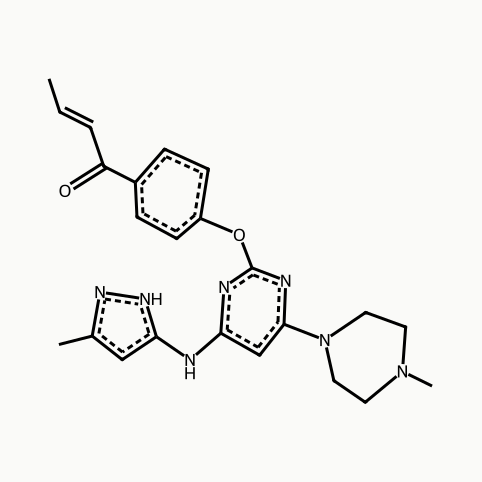 C/C=C/C(=O)c1ccc(Oc2nc(Nc3cc(C)n[nH]3)cc(N3CCN(C)CC3)n2)cc1